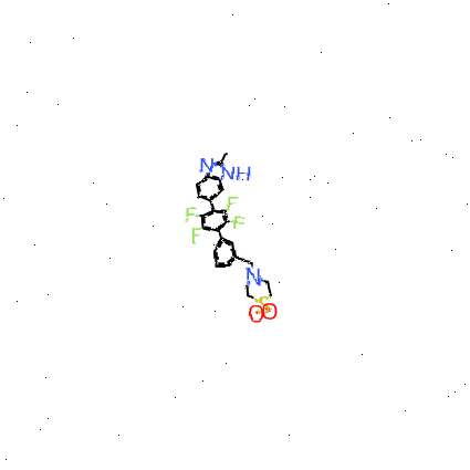 Cc1nc2ccc(-c3c(F)c(F)c(-c4cccc(CN5CCS(=O)(=O)CC5)c4)c(F)c3F)cc2[nH]1